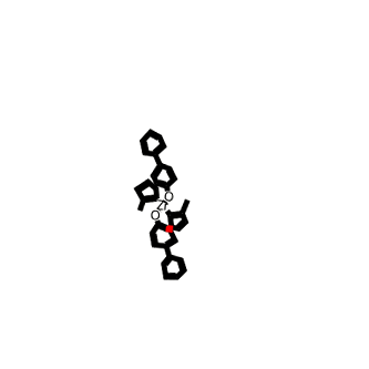 CC1=[C]([Zr]([O]c2ccc(-c3ccccc3)cc2)([O]c2ccc(-c3ccccc3)cc2)[C]2=C(C)C=CC2)CC=C1